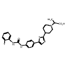 CC(C(=O)O)N1CCC(c2ncc(-c3ccc(NC(=O)Nc4ccccc4F)cc3)s2)CC1